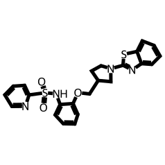 O=S(=O)(Nc1ccccc1OCC1CCN(c2nc3ccccc3s2)C1)c1ccccn1